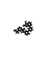 Cc1ncc(NC(=O)c2ccnc(C(C)(C)C#N)c2)cc1-c1cccc(-c2ncnc3c2CC(=O)N3)c1